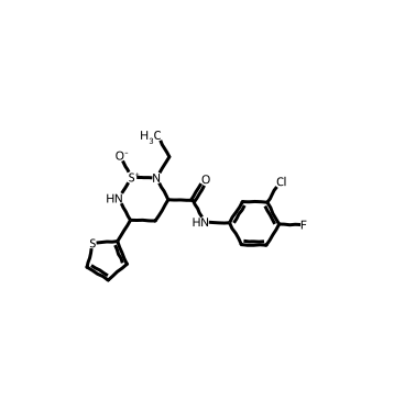 CCN1C(C(=O)Nc2ccc(F)c(Cl)c2)CC(c2cccs2)N[S+]1[O-]